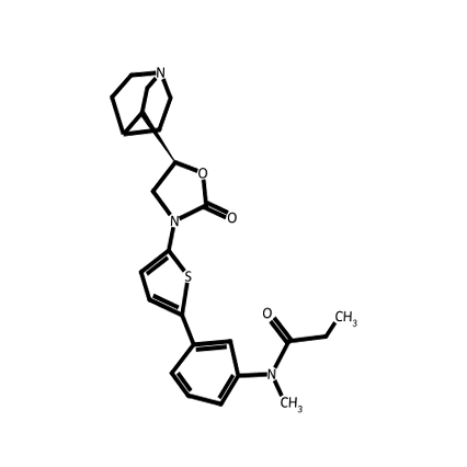 CCC(=O)N(C)c1cccc(-c2ccc(N3C[C@@H](C4CN5CCC4CC5)OC3=O)s2)c1